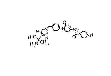 CC(C)(N)[C@H]1[C@@H]2CN(Cc3ccc(-n4ccc(NC(=O)N5CCNCC5)nc4=O)cc3)C[C@@H]21